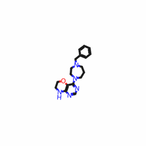 c1ccc(CN2CCCN(c3ncnc4c3OCCN4)CC2)cc1